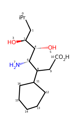 CC(C)C[C@H](O)[C@H](O)[C@@H](N)C(CC(=O)O)C1CCCCC1